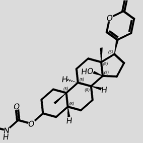 CNC(=O)OC1CC[C@@]2(C)[C@H](CC[C@@H]3[C@@H]2CC[C@]2(C)[C@@H](c4ccc(=O)oc4)CC[C@]32O)C1